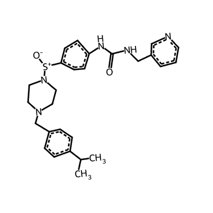 CC(C)c1ccc(CN2CCN([S+]([O-])c3ccc(NC(=O)NCc4cccnc4)cc3)CC2)cc1